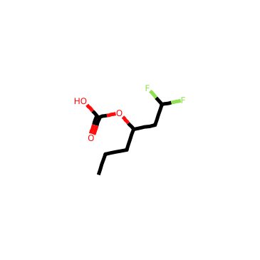 CCCC(CC(F)F)OC(=O)O